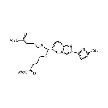 COC(=O)CCCSC(SCCCC(=O)OC)c1ccc2oc(-c3nc(C(C)(C)C)cs3)cc2c1